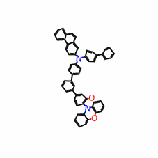 c1ccc(-c2ccc(N(c3ccc(-c4cccc(-c5ccc6c(c5)Oc5cccc7c5N6c5ccccc5O7)c4)cc3)c3ccc4c(ccc5ccccc54)c3)cc2)cc1